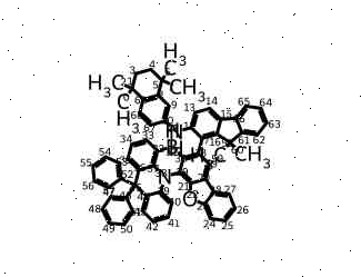 CC1(C)CCC(C)(C)c2cc(Nc3ccc4c(c3-c3cc5c(oc6ccccc65)c5c3Bc3cccc6c3N5c3ccccc3C6(c3ccccc3)c3ccccc3)C(C)(C)c3ccccc3-4)ccc21